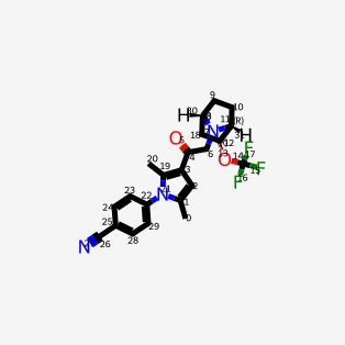 Cc1cc(C(=O)CN2[C@H]3CC[C@@H]2[C@H](OC(F)(F)F)C3)c(C)n1-c1ccc(C#N)cc1